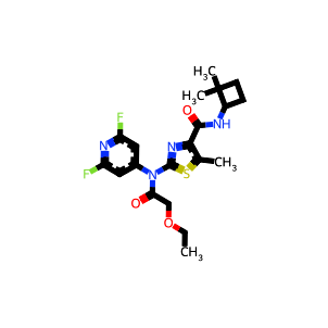 CCOCC(=O)N(c1cc(F)nc(F)c1)c1nc(C(=O)NC2CCC2(C)C)c(C)s1